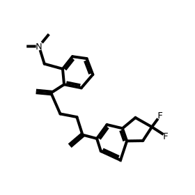 C=C(CCC(=C)c1ccccc1CN(C)C)c1ccc2c(c1)CC(F)(F)C2